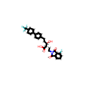 O=C(O)[C@@H](CCN1C(=O)c2cccc(F)c2C1=O)[C@H](O)CCc1ccc(-c2ccc(C(F)(F)F)cc2)cc1